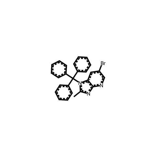 Cc1nc2ncc(Br)cc2n1C(c1ccccc1)(c1ccccc1)c1ccccc1